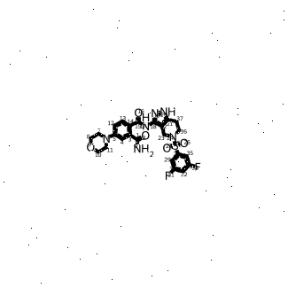 NC(=O)c1cc(N2CCOCC2)ccc1C(=O)Nc1n[nH]c2c1CN(S(=O)(=O)c1cc(F)cc(F)c1)CC2